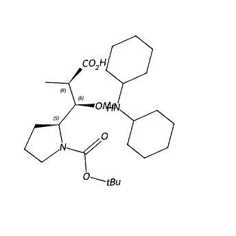 C1CCC(NC2CCCCC2)CC1.CO[C@H]([C@@H](C)C(=O)O)[C@@H]1CCCN1C(=O)OC(C)(C)C